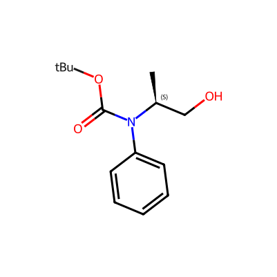 C[C@@H](CO)N(C(=O)OC(C)(C)C)c1ccccc1